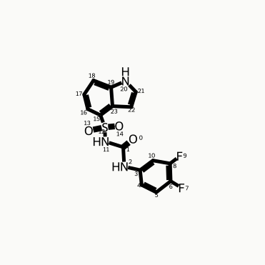 O=C(Nc1ccc(F)c(F)c1)NS(=O)(=O)c1cccc2[nH]ccc12